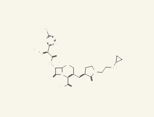 Nc1nc(C(=NO)C(=O)N[C@@H]2C(=O)N3C(C(=O)O)=C(C=C4CCN(CCNC5CC5)C4=O)CS[C@H]23)ns1